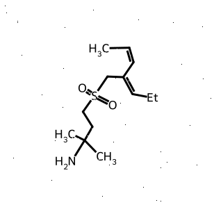 C/C=C\C(=C/CC)CS(=O)(=O)CCC(C)(C)N